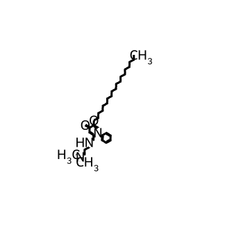 CCCCCCCCCCCCCCCCCCOc1cn(-c2ccccc2)c(CNCCCN(C)C)cc1=O